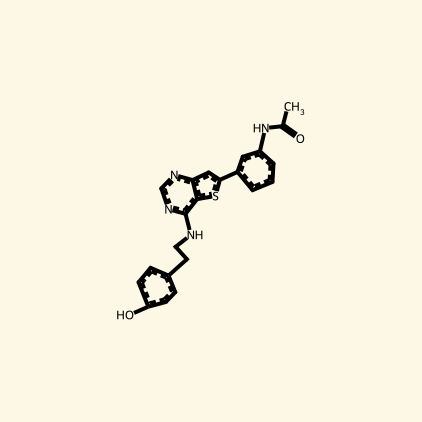 CC(=O)Nc1cccc(-c2cc3ncnc(NCCc4ccc(O)cc4)c3s2)c1